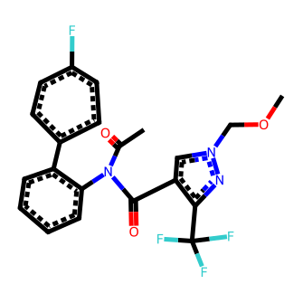 COCn1cc(C(=O)N(C(C)=O)c2ccccc2-c2ccc(F)cc2)c(C(F)(F)F)n1